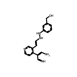 N=C/C(=C\N)c1ccncc1/C=C/NNc1cccc(CO)c1